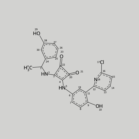 CC(Nc1c(Nc2ccc(O)c(-c3cccc(Cl)n3)c2)c(=O)c1=O)c1cccc(O)c1